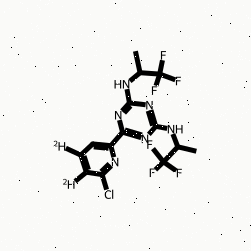 [2H]c1cc(-c2nc(NC(C)C(F)(F)F)nc(NC(C)C(F)(F)F)n2)nc(Cl)c1[2H]